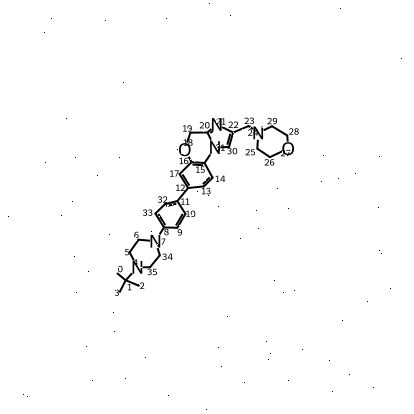 CC(C)(C)N1CCN(c2ccc(-c3ccc4c(c3)OCc3nc(CN5CCOCC5)cn3-4)cc2)CC1